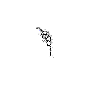 C[C@]12CCC(OCCCN)CC1CC[C@@H]1[C@H]2CC[C@]2(C)C(/C=N/O)CC[C@@]12O